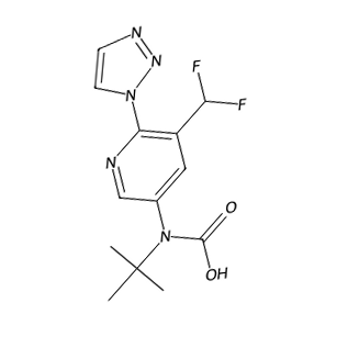 CC(C)(C)N(C(=O)O)c1cnc(-n2ccnn2)c(C(F)F)c1